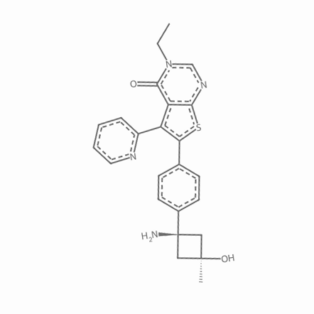 CCn1cnc2sc(-c3ccc([C@]4(N)C[C@@](C)(O)C4)cc3)c(-c3ccccn3)c2c1=O